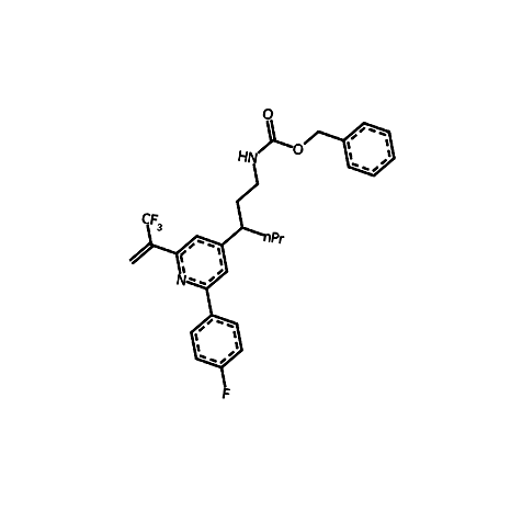 C=C(c1cc(C(CCC)CCNC(=O)OCc2ccccc2)cc(-c2ccc(F)cc2)n1)C(F)(F)F